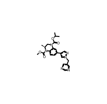 COC(=O)N1c2ccc(-c3cnn(Cc4cncnc4)c3)cc2N(C(=O)OC(C)C)C[C@@H]1C